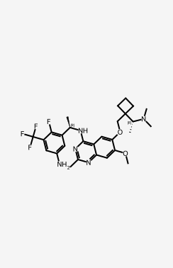 COc1cc2nc(C)nc(N[C@H](C)c3cc(N)cc(C(F)(F)F)c3F)c2cc1OCC1([C@@H](C)N(C)C)CCC1